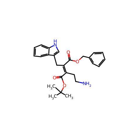 CC(C)(C)OC(=O)C(CCN)=C(Cc1c[nH]c2ccccc12)C(=O)OCc1ccccc1